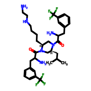 CC(C)C[C@@H]1CN(C(=O)C(N)Cc2cccc(C(F)(F)F)c2)[C@@H](CCCCNCCN)CN1C(=O)C(N)Cc1cccc(C(F)(F)F)c1